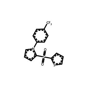 O=S(=O)(c1cccs1)c1cccn1-c1ccc(C(F)(F)F)cc1